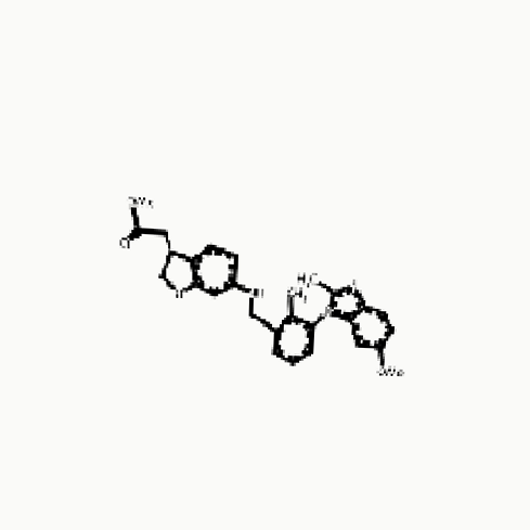 COC(=O)C[C@@H]1COc2cc(NCc3cccc(-n4c(C)nc5ccc(OC)cc54)c3C)ccc21